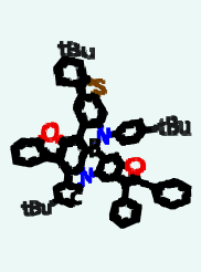 CC(C)(C)c1ccc(N2B3c4cc5oc(-c6ccccc6)c(-c6ccccc6)c5cc4-n4c5ccc(C(C)(C)C)cc5c5c6c(oc7ccccc76)c(c3c54)-c3cc4c(cc32)sc2cc(C(C)(C)C)ccc24)cc1